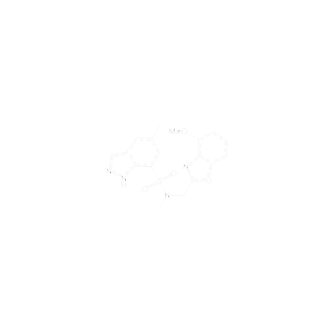 COc1cccc2oc(CN(C)S(=O)(=O)c3cc(C)cc4cn[nH]c34)nc12